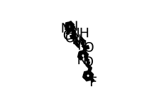 O=C(Nc1nccnc1Cl)N1CCN(C(=O)c2ccnc(OCCc3cccc(F)c3)c2)CC1